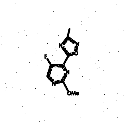 COc1ncc(F)c(-c2nc(C)no2)n1